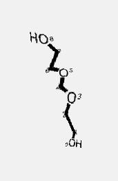 OCCO[CH]OCCO